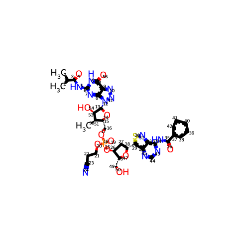 CC(C)C(=O)Nc1nc2c(nnn2[C@@H]2O[C@H](COP(=O)(OCCC#N)O[C@H]3C[C@H](c4snc5c(NC(=O)c6ccccc6)ncnc45)O[C@@H]3CO)[C@@H](C)[C@H]2O)c(=O)[nH]1